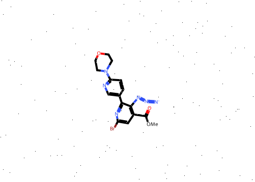 COC(=O)c1cc(Br)nc(-c2ccc(N3CCOCC3)nc2)c1N=[N+]=[N-]